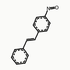 O=Nc1ccc(/C=C/c2ccccc2)cc1